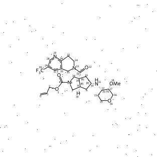 C=CCOC(=O)N1C[C@@H]2C[C@@H](N[C@H]3CCOC[C@H]3OC)C[C@]2(C(=O)N2CCc3ncc(C(F)(F)F)cc3C2)C1